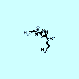 CCC[S+]([O-])c1nnc(S(=O)(=O)CC)s1